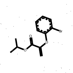 C=C(Oc1ccccc1Br)C(=O)OC(C)C